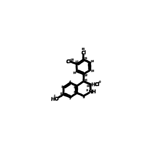 Cl.Oc1ccc2c(c1)CNCC2c1ccc(Cl)c(Cl)c1